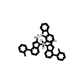 Cc1ccccc1-c1cccc2c1C=C(C(C)(C)C)[CH]2[Zr]([Cl])([Cl])([c]1cccc2c1[SiH2]c1ccccc1-2)[CH]1C(C(C)(C)C)=Cc2c(-c3ccccc3C)cccc21